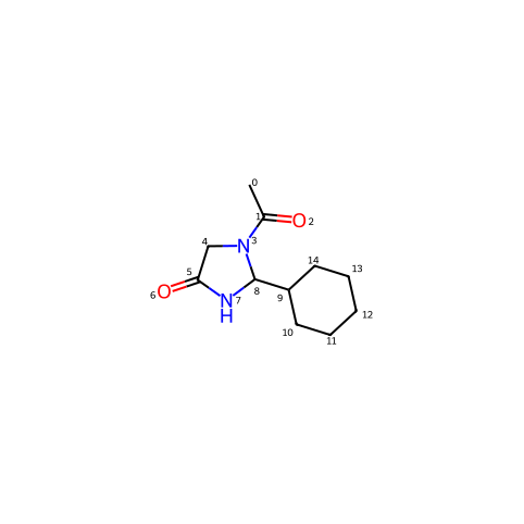 CC(=O)N1CC(=O)NC1C1CCCCC1